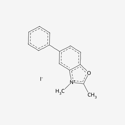 Cc1oc2ccc(-c3ccccc3)cc2[n+]1C.[I-]